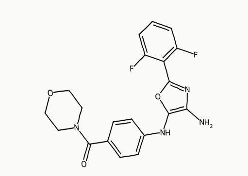 Nc1nc(-c2c(F)cccc2F)oc1Nc1ccc(C(=O)N2CCOCC2)cc1